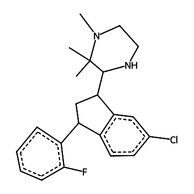 CN1CCNC(C2CC(c3ccccc3F)c3ccc(Cl)cc32)C1(C)C